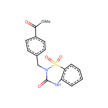 COC(=O)c1ccc(CN2C(=O)Nc3ccccc3S2(=O)=O)cc1